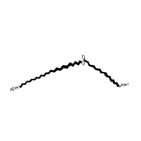 CCCCCC=CCC=CCC=CCC=CCCCC(=O)OCCCCCCCCCCCCCCCCCCCCCCCCCCCCCCCCCC